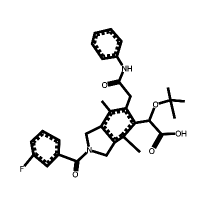 Cc1c2c(c(C)c(C(OC(C)(C)C)C(=O)O)c1CC(=O)Nc1ccccc1)CN(C(=O)c1cccc(F)c1)C2